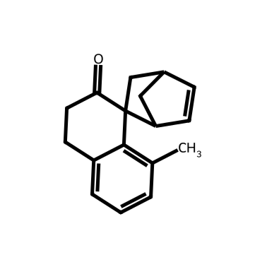 Cc1cccc2c1C1(CC3C=CC1C3)C(=O)CC2